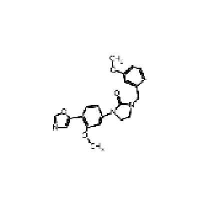 COc1cccc(CN2CCN(c3ccc(-c4cnco4)c(OC)c3)C2=O)c1